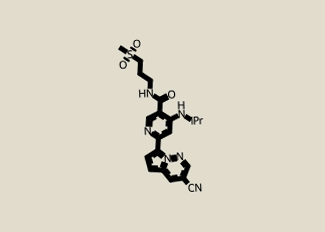 CC(C)Nc1cc(-c2ccc3cc(C#N)cnn23)ncc1C(=O)NCCCS(C)(=O)=O